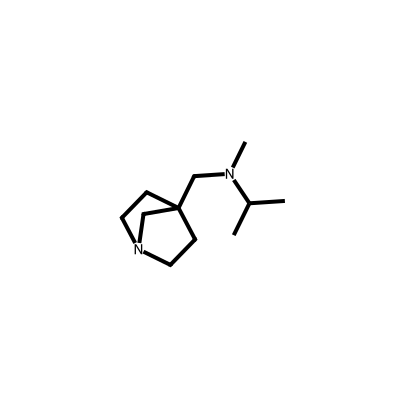 CC(C)N(C)CC12CCN(CC1)C2